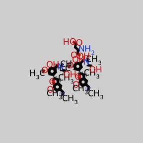 C/C=C/c1cc(OC)c2c(c1)[C@H](C)[C@@H](c1cc(CN(C)CCO)c(O)c(OC)c1)O2.C/C=C/c1cc(OC)c2c(c1)[C@H](C)[C@@H](c1cc(CN(C)CCO)c(O)c(OC)c1)O2.NC(CC(=O)O)C(=O)O